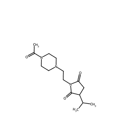 CC(=O)N1CCN(CCN2C(=O)CC(C(C)C)C2=O)CC1